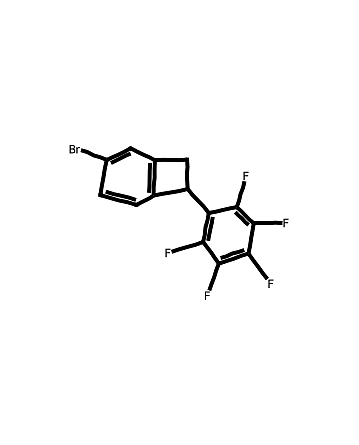 Fc1c(F)c(F)c(C2Cc3cc(Br)ccc32)c(F)c1F